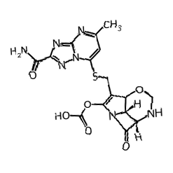 Cc1cc(SCC2=C(OC(=O)O)N3C(=O)[C@H]4NCOC2[C@H]43)n2nc(C(N)=O)nc2n1